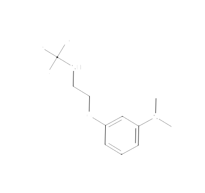 CN(C)c1cccc(OCCNC(O)(O)O)c1